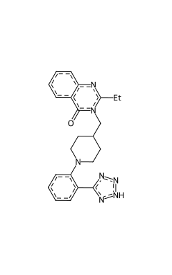 CCc1nc2ccccc2c(=O)n1CC1CCN(c2ccccc2-c2nn[nH]n2)CC1